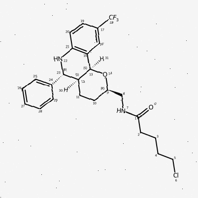 O=C(CCCCCl)NC[C@H]1CC[C@@H]2[C@H](O1)c1cc(C(F)(F)F)ccc1N[C@H]2c1ccccc1